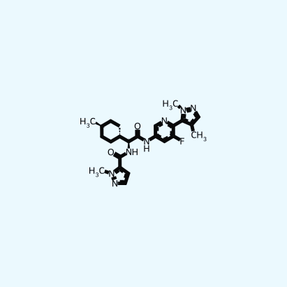 Cc1cnn(C)c1-c1ncc(NC(=O)[C@@H](NC(=O)c2ccnn2C)[C@H]2CC[C@H](C)CC2)cc1F